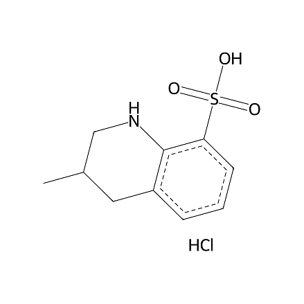 CC1CNc2c(cccc2S(=O)(=O)O)C1.Cl